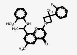 Cc1cc(C(C)Nc2ccccc2C(=O)O)c2oc(N3CC(C)(c4ccccc4F)C3)cc(=O)c2c1